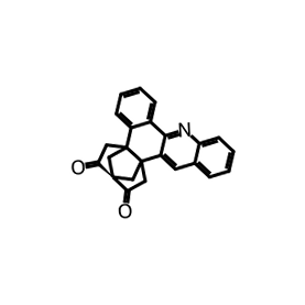 O=C1CC23C[C@@]14CC2(CC4=O)c1cc2ccccc2nc1-c1ccccc13